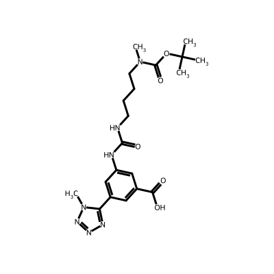 CN(CCCCNC(=O)Nc1cc(C(=O)O)cc(-c2nnnn2C)c1)C(=O)OC(C)(C)C